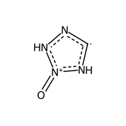 O=[n+]1[nH][c]n[nH]1